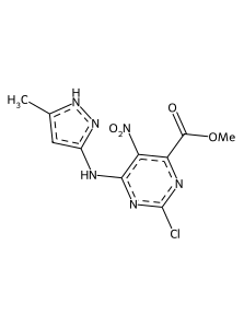 COC(=O)c1nc(Cl)nc(Nc2cc(C)[nH]n2)c1[N+](=O)[O-]